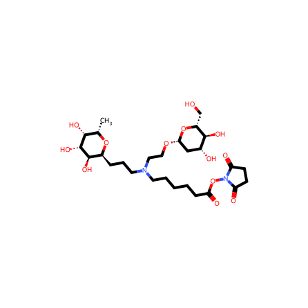 C[C@@H]1O[C@@H](CCCN(CCCCCC(=O)ON2C(=O)CCC2=O)CCO[C@H]2C[C@@H](O)[C@H](O)[C@@H](CO)O2)[C@@H](O)[C@H](O)[C@@H]1O